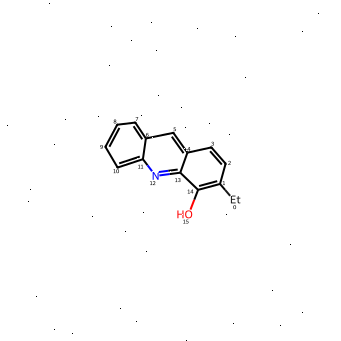 CCc1ccc2cc3ccccc3nc2c1O